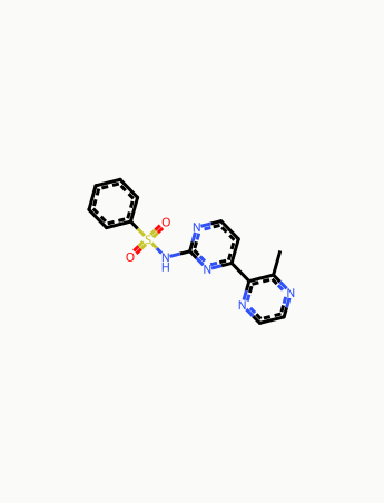 Cc1nccnc1-c1ccnc(NS(=O)(=O)c2ccccc2)n1